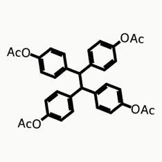 CC(=O)Oc1ccc(C(c2ccc(OC(C)=O)cc2)C(c2ccc(OC(C)=O)cc2)c2ccc(OC(C)=O)cc2)cc1